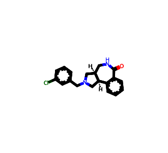 O=C1NC[C@@H]2CN(Cc3cccc(Cl)c3)C[C@@H]2c2ccccc21